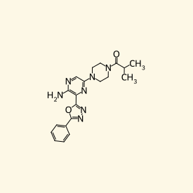 CC(C)C(=O)N1CCN(c2cnc(N)c(-c3nnc(-c4ccccc4)o3)n2)CC1